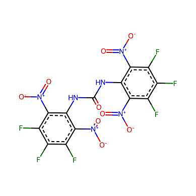 O=C(Nc1c([N+](=O)[O-])c(F)c(F)c(F)c1[N+](=O)[O-])Nc1c([N+](=O)[O-])c(F)c(F)c(F)c1[N+](=O)[O-]